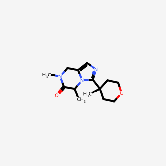 CC1C(=O)N(C)Cc2cnc(C3(C)CCOCC3)n21